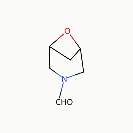 O=CN1CC2CC(C1)O2